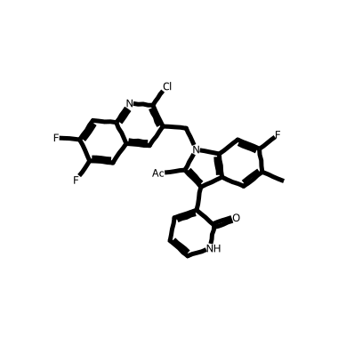 CC(=O)c1c(-c2ccc[nH]c2=O)c2cc(C)c(F)cc2n1Cc1cc2cc(F)c(F)cc2nc1Cl